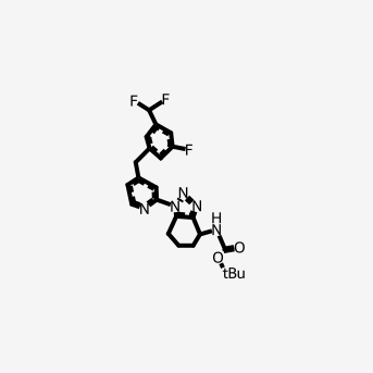 CC(C)(C)OC(=O)NC1CCCc2c1nnn2-c1cc(Cc2cc(F)cc(C(F)F)c2)ccn1